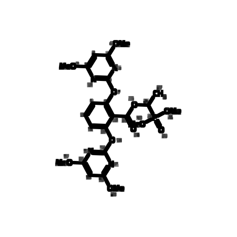 COc1cc(OC)nc(Oc2cccc(Oc3nc(OC)cc(OC)n3)c2C(=O)OC(C)P(=O)(OC)OC)n1